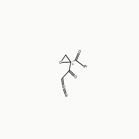 CC(C)C(=O)[C@@]1(C(=O)C=[N+]=[N-])CO1